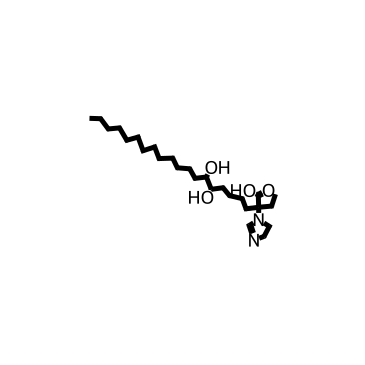 CCCCCCCCCCCCCC(O)C(O)CCCCC(CC)(C(=O)O)N1C=NCC1